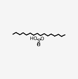 CCCCCCCCCCCCCCCC.O=[SH](=O)O